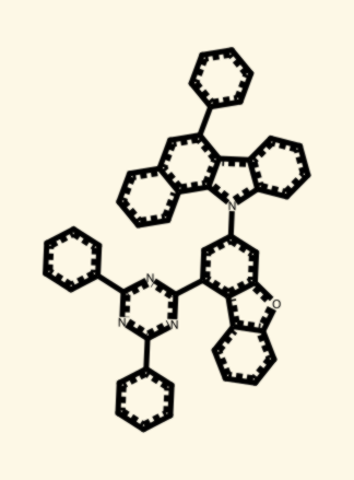 c1ccc(-c2nc(-c3ccccc3)nc(-c3cc(-n4c5ccccc5c5c(-c6ccccc6)cc6ccccc6c54)cc4oc5ccccc5c34)n2)cc1